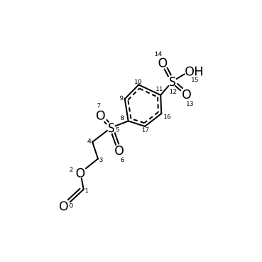 O=COCCS(=O)(=O)c1ccc(S(=O)(=O)O)cc1